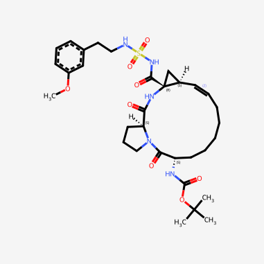 COc1cccc(CCNS(=O)(=O)NC(=O)[C@@]23C[C@H]2/C=C\CCCCC[C@H](NC(=O)OC(C)(C)C)C(=O)N2CCC[C@H]2C(=O)N3)c1